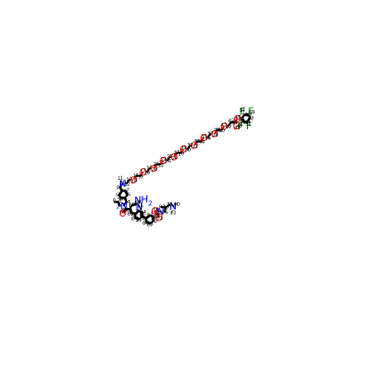 CCCN(Cc1ccc(CN(C)CCOCCOCCOCCOCCOCCOCCOCCOCCOCCOCCC(=O)Oc2c(F)c(F)cc(F)c2F)cc1)C(=O)C1=Cc2ccc(-c3cccc(S(=O)(=O)N4CC(CN(C)C)C4)c3)cc2N=C(N)C1